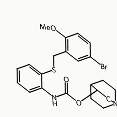 COc1ccc(Br)cc1CSc1ccccc1NC(=O)OC1CN2CCC1CC2